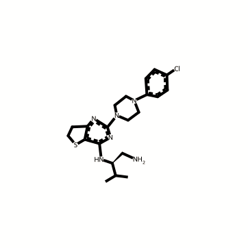 CC(C)[C@H](CN)Nc1nc(N2CCN(c3ccc(Cl)cc3)CC2)nc2c1SCC2